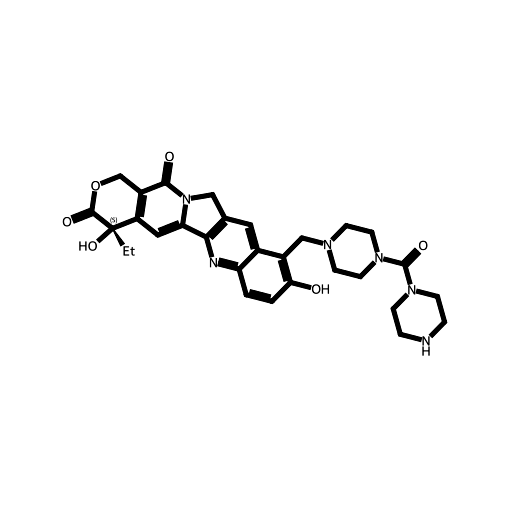 CC[C@@]1(O)C(=O)OCc2c1cc1n(c2=O)Cc2cc3c(CN4CCN(C(=O)N5CCNCC5)CC4)c(O)ccc3nc2-1